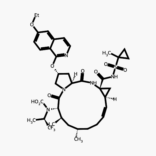 CCOc1ccc2c(O[C@@H]3C[C@H]4C(=O)N[C@]5(C(=O)NS(=O)(=O)C6(C)CC6)C[C@H]5/C=C\CC[C@H](C)C[C@@H](C)[C@H](N(C(=O)O)[C@H](C)C(F)(F)F)C(=O)N4C3)nccc2c1